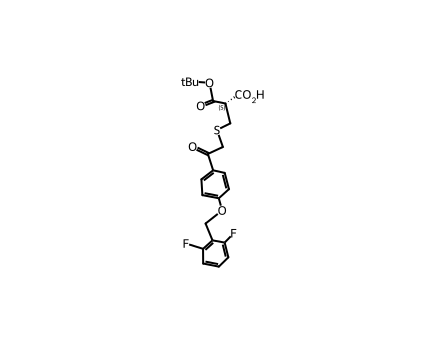 CC(C)(C)OC(=O)[C@@H](CSCC(=O)c1ccc(OCc2c(F)cccc2F)cc1)C(=O)O